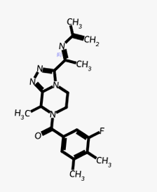 C=C(C)/N=C(\C)c1nnc2n1CCN(C(=O)c1cc(C)c(C)c(F)c1)C2C